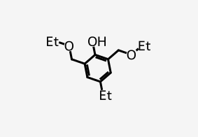 CCOCc1cc(CC)cc(COCC)c1O